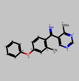 CNc1ncncc1C(=N)c1ccc(Oc2ccccc2)cc1C#N